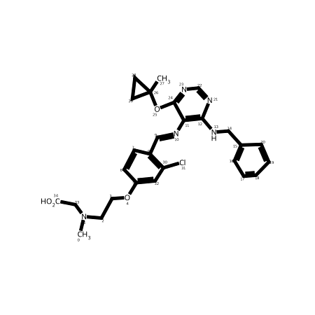 CN(CCOc1ccc(/C=N/c2c(NCc3ccccc3)ncnc2OC2(C)CC2)c(Cl)c1)CC(=O)O